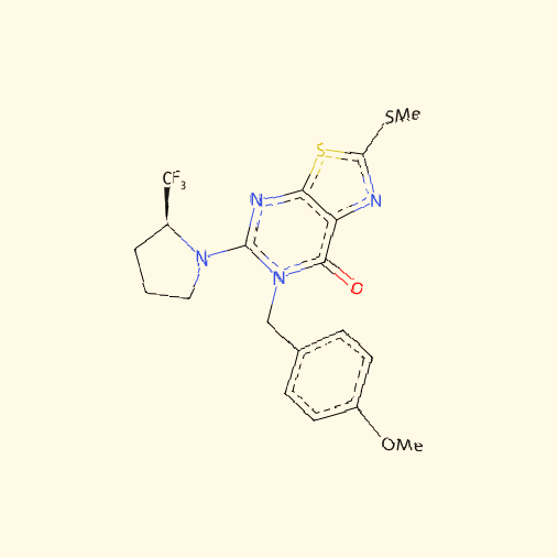 COc1ccc(Cn2c(N3CCC[C@H]3C(F)(F)F)nc3sc(SC)nc3c2=O)cc1